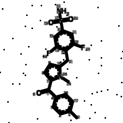 Cc1ccc(C(=O)c2ccc(Cc3c(F)cc(S(N)(=O)=O)cc3F)n2C)cc1